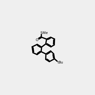 CSC(=O)c1ccccc1-c1ccccc1-c1ccc(C(C)(C)C)cc1